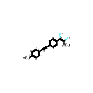 CCCC/C(F)=C(/F)c1ccc(C#Cc2ccc(CCCC)cc2)cc1